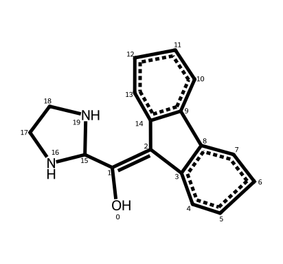 OC(=C1c2ccccc2-c2ccccc21)C1NCCN1